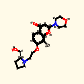 CCc1c(OCCN2CCC[C@@H]2CO)ccc2c(=O)cc(N3CCOCC3)oc12